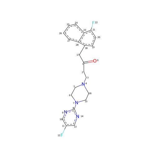 O=C(CCN1CCN(c2ncc(F)cn2)CC1)Cc1ccc(F)c2ccccc12